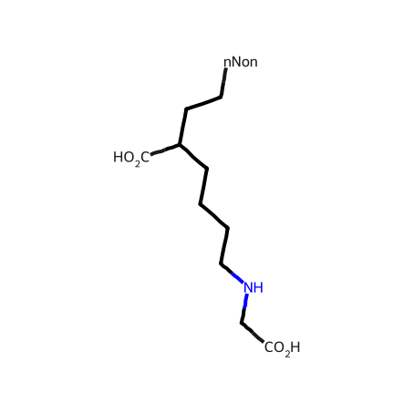 CCCCCCCCCCCC(CCCCNCC(=O)O)C(=O)O